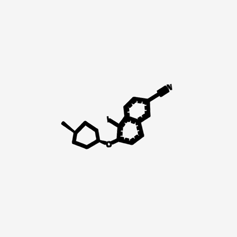 C[C@H]1CC[C@@H](Oc2ccc3cc(C#N)ccc3c2I)CC1